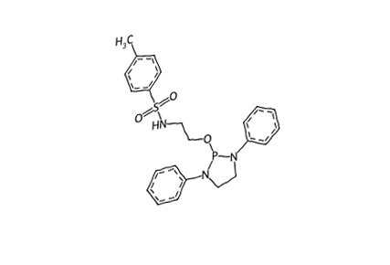 Cc1ccc(S(=O)(=O)NCCOP2N(c3ccccc3)CCN2c2ccccc2)cc1